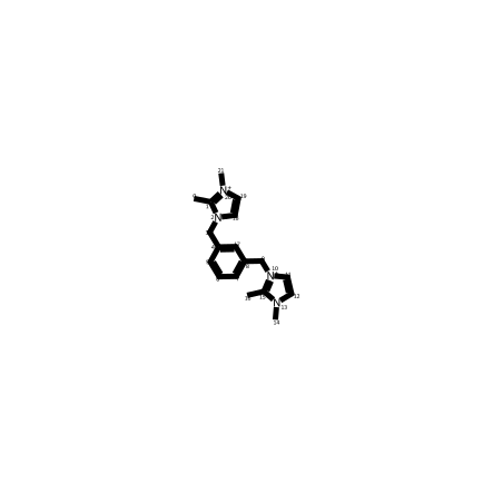 Cc1n(Cc2cccc(C[n+]3ccn(C)c3C)c2)cc[n+]1C